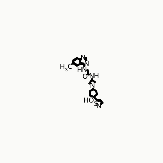 Cc1ccc2ncnc(NCC(=O)NC3CN(C4CCC(O)(c5ccns5)CC4)C3)c2c1